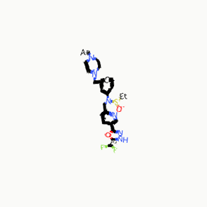 CC[S+]([O-])N(Cc1ccc(C2=NN[C@H](C(F)F)O2)cn1)c1cccc(CN2CCN(C(C)=O)CC2)c1